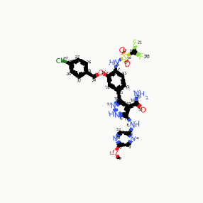 COc1cnc(Nc2[nH]nc(-c3ccc(NS(=O)(=O)C(F)F)c(OCc4ccc(Cl)cc4)c3)c2C(N)=O)cn1